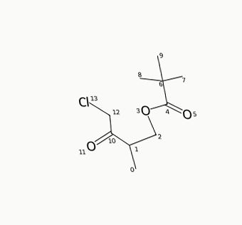 CC(COC(=O)C(C)(C)C)C(=O)CCl